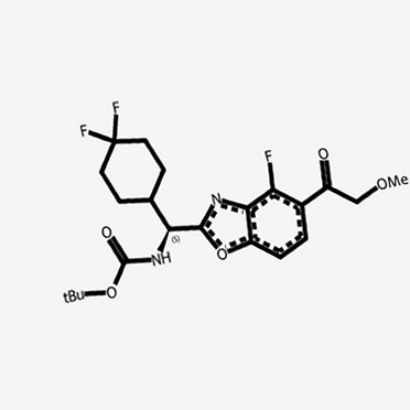 COCC(=O)c1ccc2oc([C@@H](NC(=O)OC(C)(C)C)C3CCC(F)(F)CC3)nc2c1F